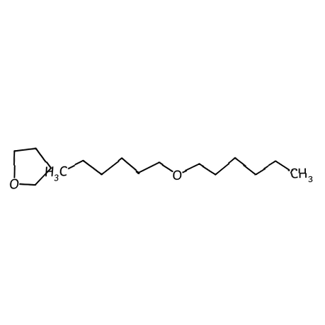 C1CCOC1.CCCCCCOCCCCCC